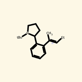 CC/C=C(\C)c1ccccc1C1CCCN1C(C)(C)C